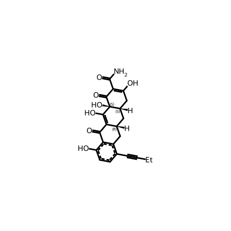 CCC#Cc1ccc(O)c2c1C[C@H]1C[C@H]3CC(O)=C(C(N)=O)C(=O)[C@@]3(O)C(O)=C1C2=O